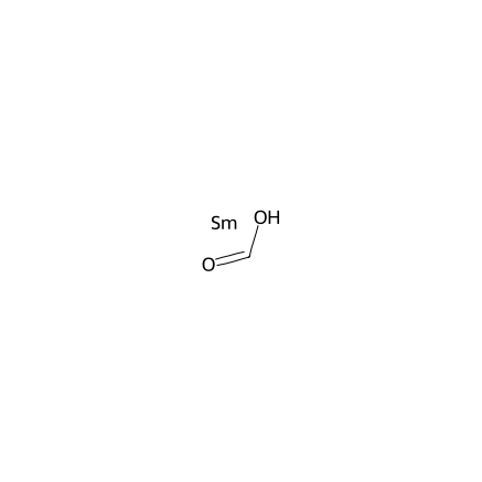 O=CO.[Sm]